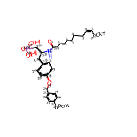 CCCCCCCC/C=C\CCCCCCCC(=O)N[C@@H](Cc1ccc(OCc2ccc(CCCCC)cc2)cc1)CP(=O)(O)O